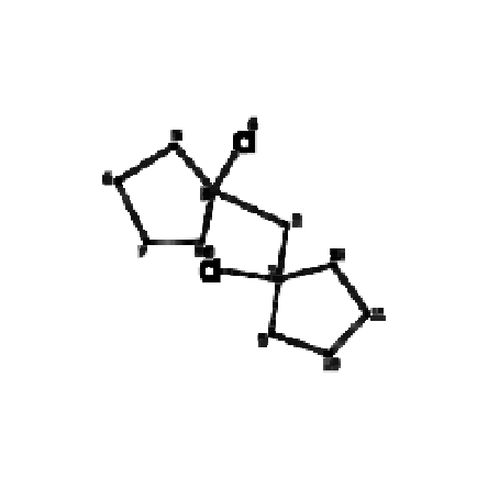 ClC1(CC2(Cl)CCCC2)CCCC1